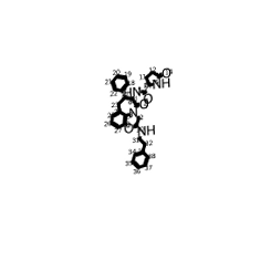 O=C(CN1C(=O)[C@H](NC(=O)[C@@H]2CCC(=O)N2)[C@@H](c2ccccc2)Cc2ccccc21)NCCc1ccccc1